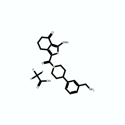 CSc1sc(C(=O)N2CCC(c3cccc(CN)c3)CC2)c2c1C(=O)CCC2.O=C(O)C(F)(F)F